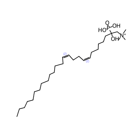 CCCCCCCCCCCCC/C=C\CC/C=C\CCCCCC(O)(C[N+](C)(C)C)P(=O)(O)O